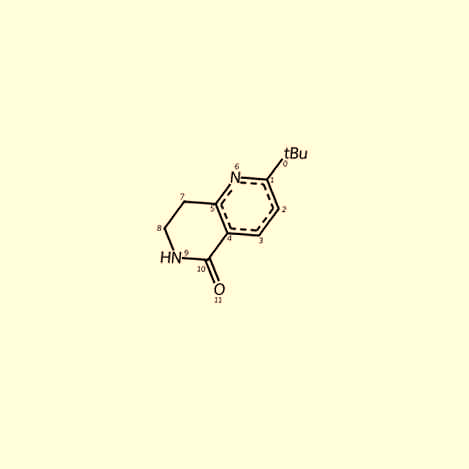 CC(C)(C)c1ccc2c(n1)CCNC2=O